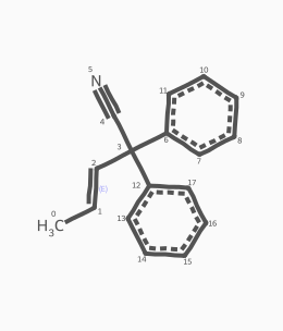 C/C=C/C(C#N)(c1ccccc1)c1ccccc1